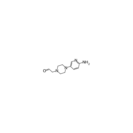 Nc1ccc(N2CCN(CC=O)CC2)cn1